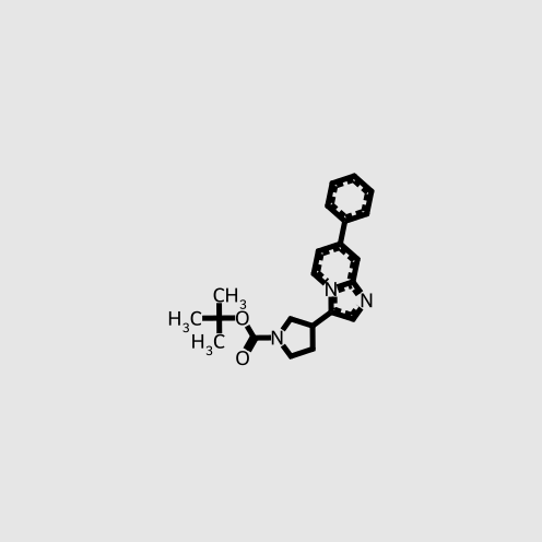 CC(C)(C)OC(=O)N1CCC(c2cnc3cc(-c4ccccc4)ccn23)C1